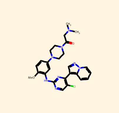 COc1ccc(N2CCN(C(=O)CN(C)C)CC2)cc1Nc1ncc(Cl)c(-c2cnn3ccccc23)n1